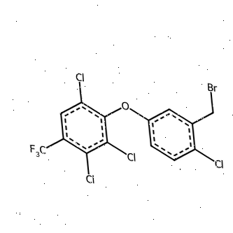 FC(F)(F)c1cc(Cl)c(Oc2ccc(Cl)c(CBr)c2)c(Cl)c1Cl